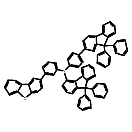 c1ccc(C2(c3ccccc3)c3ccccc3-c3ccc(-c4ccc(N(c5cccc(-c6ccc7oc8ccccc8c7c6)c5)c5cccc6c5-c5ccccc5C6(c5ccccc5)c5ccccc5)cc4)cc32)cc1